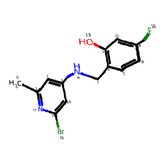 Cc1cc(NCc2ccc(F)cc2O)cc(Br)n1